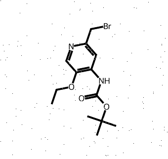 CCOc1cnc(CBr)cc1NC(=O)OC(C)(C)C